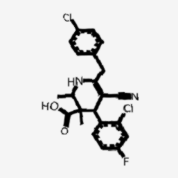 CC1NC(Cc2ccc(Cl)cc2)=C(C#N)C(c2ccc(F)cc2Cl)C1(C)C(=O)O